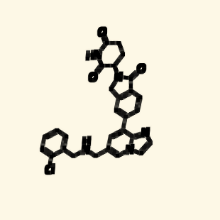 O=C1CCC(N2Cc3cc(-c4cc(CNCc5ccccc5Cl)cn5ccnc45)ccc3C2=O)C(=O)N1